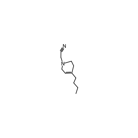 CCCCC1=CCN(CC#N)CC1